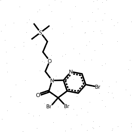 CS(C)(C)CCOCN1C(=O)C(Br)(Br)c2cc(Br)cnc21